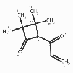 C=CC(=O)N1C(=O)C(C)(C)C1(C)C